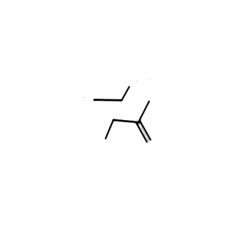 CCCC(=O)CC(=O)O.CCOC(=O)CC(C)=O